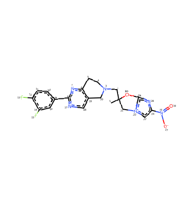 CC1(CN2CCc3nc(-c4ccc(F)c(F)c4)ncc3C2)Cn2cc([N+](=O)[O-])nc2O1